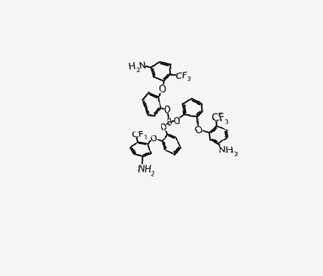 Nc1ccc(C(F)(F)F)c(Oc2ccccc2OB(Oc2ccccc2Oc2cc(N)ccc2C(F)(F)F)Oc2ccccc2Oc2cc(N)ccc2C(F)(F)F)c1